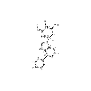 CC=C1N[C@](C)(c2csc3c(-c4ccncc4)cccc23)CC(=O)N1C